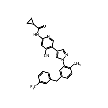 Cc1ccc(Cc2cccc(C(F)(F)F)c2)cc1-n1cc(-c2cnc(NC(=O)C3CC3)cc2C#N)cn1